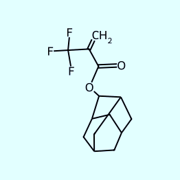 C=C(C(=O)OC1C2CC3CC(C2)CC1C3)C(F)(F)F